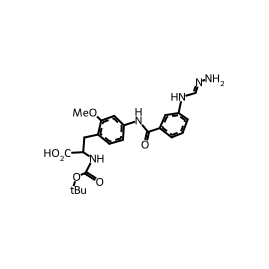 COc1cc(NC(=O)c2cccc(NC=NN)c2)ccc1CC(NC(=O)OC(C)(C)C)C(=O)O